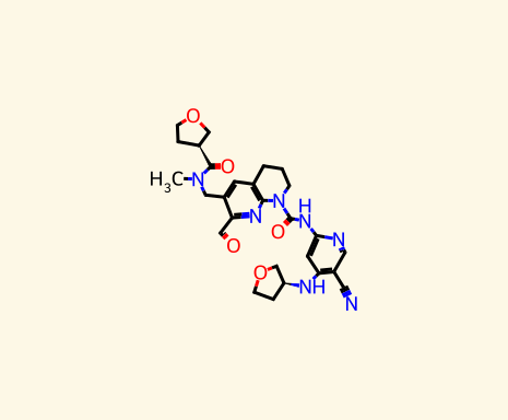 CN(Cc1cc2c(nc1C=O)N(C(=O)Nc1cc(N[C@H]3CCOC3)c(C#N)cn1)CCC2)C(=O)[C@H]1CCOC1